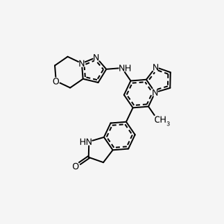 Cc1c(-c2ccc3c(c2)NC(=O)C3)cc(Nc2cc3n(n2)CCOC3)c2nccn12